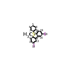 CS1(c2ccccc2)c2ccc(I)cc2-c2cc(I)ccc21